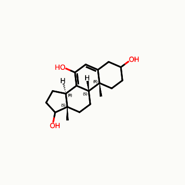 C[C@]12CCC(O)CC1=CC(O)=C1[C@H]2CC[C@]2(C)C(O)CC[C@@H]12